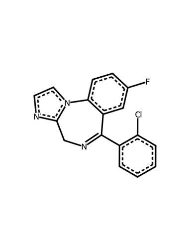 Fc1ccc2c(c1)C(c1ccccc1Cl)=NCc1nccn1-2